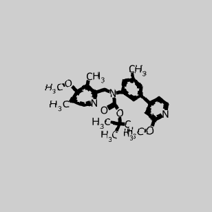 COc1cc(-c2cc(C)cc(N(Cc3ncc(C)c(OC)c3C)C(=O)OC(C)(C)C)c2)ccn1